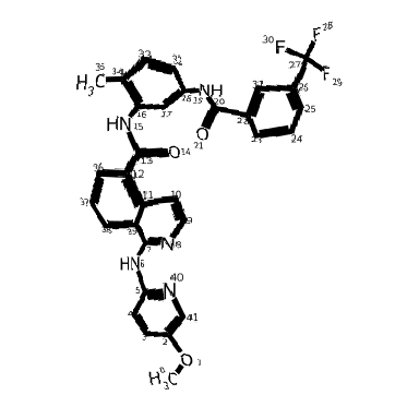 COc1ccc(Nc2nccc3c(C(=O)Nc4cc(NC(=O)c5cccc(C(F)(F)F)c5)ccc4C)cccc23)nc1